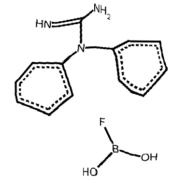 N=C(N)N(c1ccccc1)c1ccccc1.OB(O)F